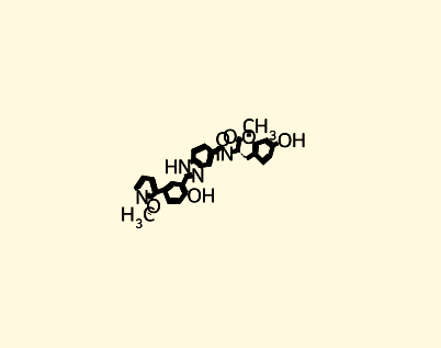 COC(=O)[C@H](Cc1ccc(O)cc1)NC(=O)c1ccc2[nH]c(-c3cc(-c4cccnc4OC)ccc3O)nc2c1